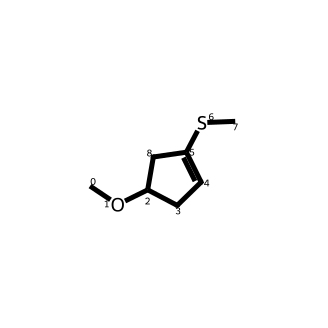 COC1CC=C(SC)C1